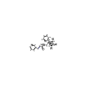 O=C(/C=C/c1cccnc1)NCC[C@@]12[C@@H]3[C@H]1CN(c1ccccn1)[C@@H]32